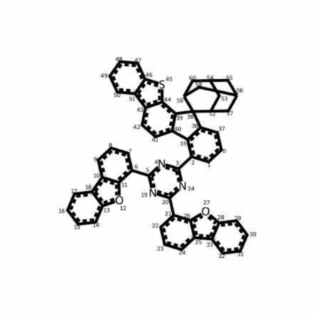 c1cc(-c2nc(-c3cccc4c3oc3ccccc34)nc(-c3cccc4c3oc3ccccc34)n2)c2c(c1)C1(c3c-2ccc2c3sc3ccccc32)C2CC3CC(C2)CC1C3